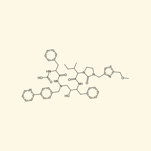 CCC(C)C(C(=O)NC(Cc1ccccc1)C(O)CN(Cc1ccc(-c2ccccn2)cc1)NC(=O)C(Cc1ccccc1)NC(=O)O)N1CCN(Cc2csc(COC)n2)C1=O